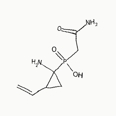 C=CC1CC1(N)P(=O)(O)CC(N)=O